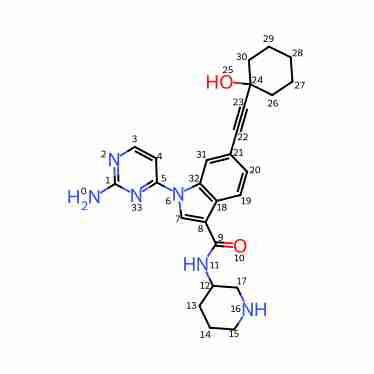 Nc1nccc(-n2cc(C(=O)NC3CCCNC3)c3ccc(C#CC4(O)CCCCC4)cc32)n1